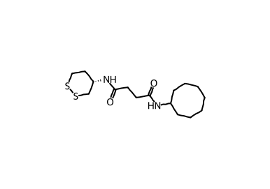 O=C(CCC(=O)N[C@H]1CCSSC1)NC1CCCCCCC1